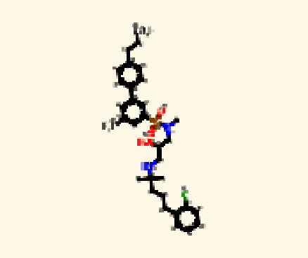 CN(CC(O)CNC(C)(C)CCCc1ccccc1Cl)S(=O)(=O)c1cc(-c2ccc(CCC(=O)O)cc2)cc(C(F)(F)F)c1